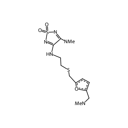 CNCc1ccc(CSCCNC2=NS(=O)(=O)N=C2NC)o1